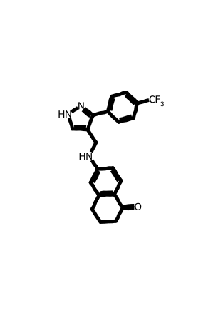 O=C1CCCc2cc(NCc3c[nH]nc3-c3ccc(C(F)(F)F)cc3)ccc21